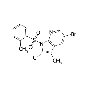 Cc1ccccc1S(=O)(=O)n1c(Cl)c(C)c2cc(Br)cnc21